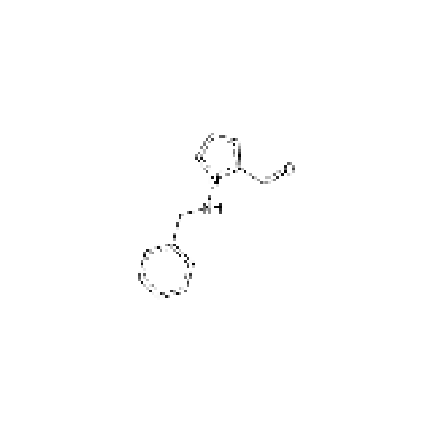 O=Cc1cccn1NCc1ccccc1